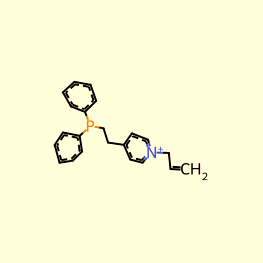 C=CC[n+]1ccc(CCP(c2ccccc2)c2ccccc2)cc1